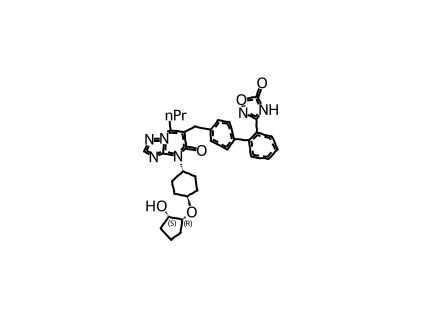 CCCc1c(Cc2ccc(-c3ccccc3-c3noc(=O)[nH]3)cc2)c(=O)n([C@H]2CC[C@H](O[C@@H]3CCC[C@@H]3O)CC2)c2ncnn12